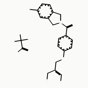 NCC(=CF)COc1ccc(C(=O)N2Cc3ccc(Cl)cc3C2)cc1.O=C(O)C(F)(F)F